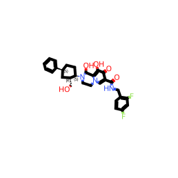 O=C(NCc1ccc(F)cc1F)c1cn2c(c(O)c1=O)C(O)N([C@H]1CC[C@H](c3ccccc3)C[C@H]1CO)CC2